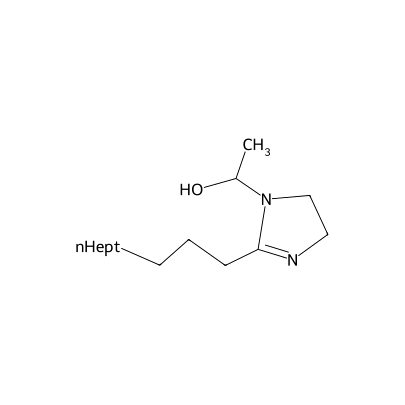 CCCCCCCCCCC1=NCCN1C(C)O